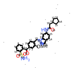 COc1cc(C(=O)c2ccccc2S(N)(=O)=O)ccc1Cn1ncc2ccc(NC(=O)CC3CCCC3)cc21